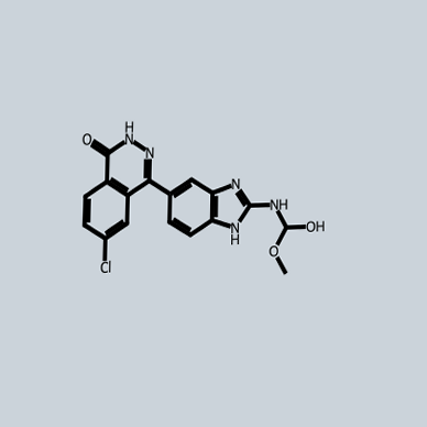 COC(O)Nc1nc2cc(-c3n[nH]c(=O)c4ccc(Cl)cc34)ccc2[nH]1